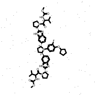 COC(=O)NC(C(=O)N1CCC[C@H]1c1nc2ccc([C@H]3CC[C@H](c4ccc5nc([C@@H]6CCCN6C(=O)[C@@H](NC(=O)OC)C(C)C)[nH]c5c4)N3c3ccc(OC4CCCC4)c(F)c3)cc2[nH]1)C(C)C